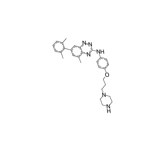 Cc1cccc(C)c1-c1cc(C)c2nc(Nc3ccc(OCCCN4CCNCC4)cc3)nnc2c1